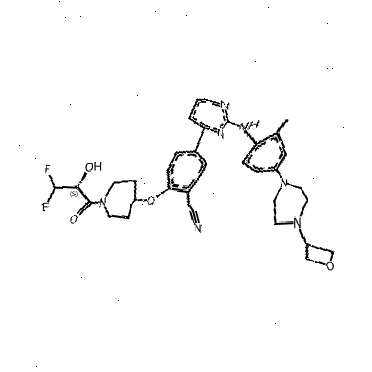 Cc1cc(N2CCN(C3COC3)CC2)ccc1Nc1nccc(-c2ccc(OC3CCN(C(=O)[C@H](O)C(F)F)CC3)c(C#N)c2)n1